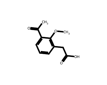 COc1c(CC(=O)O)cccc1C(C)=O